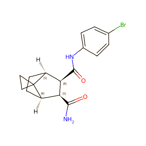 NC(=O)[C@@H]1[C@H](C(=O)Nc2ccc(Br)cc2)[C@@H]2CC[C@H]1C21CC1